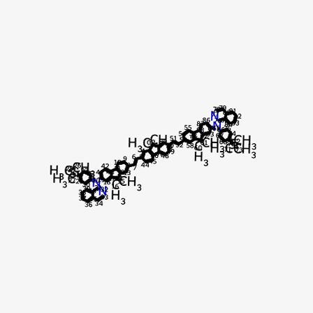 CC1(C)c2cc(/C=C/c3ccc4c(c3)C(C)(C)c3cc(N(c5ccc([Si](C)(C)C)cc5)c5nccc6ccccc56)ccc3-4)ccc2-c2ccc(/C=C/c3ccc4c(c3)C(C)(C)c3cc(N(c5ccc([Si](C)(C)C)cc5)c5nccc6ccccc56)ccc3-4)cc21